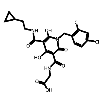 O=C(O)CNC(=O)c1c(O)c(C(=O)NCCC2CC2)c(O)n(Cc2ccc(Cl)cc2Cl)c1=O